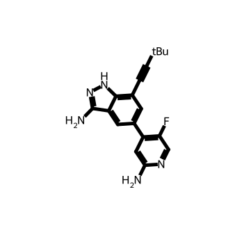 CC(C)(C)C#Cc1cc(-c2cc(N)ncc2F)cc2c(N)n[nH]c12